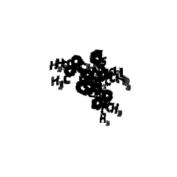 Cc1cc(C)c2c(c1)N(c1cc3c4c(c1)-n1c5c(cc(C(C)(C)C)cc5c5sc6ccccc6c51)B4c1cc(-c4cccc5c4-c4ccccc4C5(C)C)cc4c1N3C1(C)CCCCC41C)C1(C)CCCCC21C